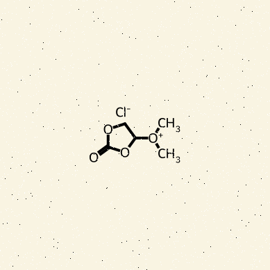 C[O+](C)C1COC(=O)O1.[Cl-]